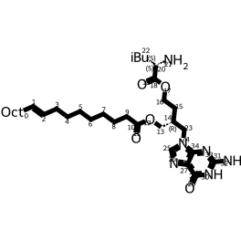 CCCCCCCCC=CCCCCCCCC(=O)OC[C@H](CCOC(=O)[C@@H](N)[C@@H](C)CC)Cn1cnc2c(=O)[nH]c(N)nc21